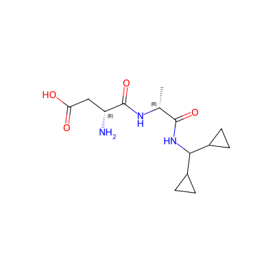 C[C@@H](NC(=O)[C@H](N)CC(=O)O)C(=O)NC(C1CC1)C1CC1